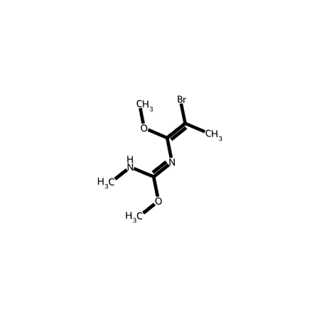 CN/C(=N\C(OC)=C(/C)Br)OC